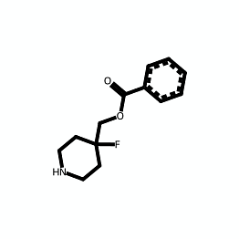 O=C(OCC1(F)CCNCC1)c1ccccc1